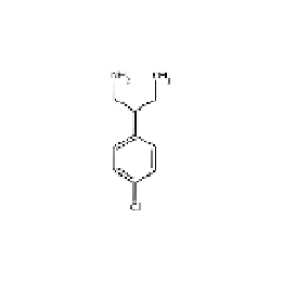 CCC(CN)c1ccc(Cl)cc1